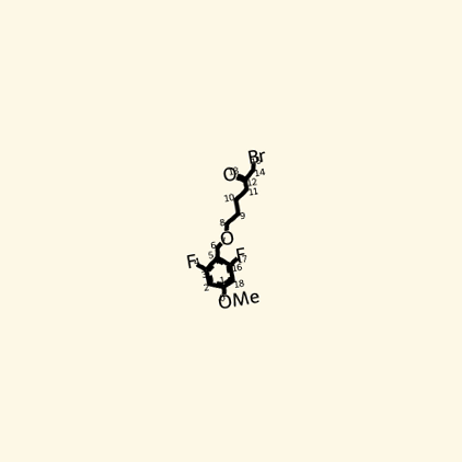 COc1cc(F)c(COCCCCC(=O)CBr)c(F)c1